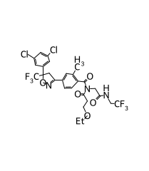 CCOCCC(=O)N(CC(=O)NCC(F)(F)F)C(=O)c1ccc(C2=NOC(c3cc(Cl)cc(Cl)c3)(C(F)(F)F)C2)cc1C